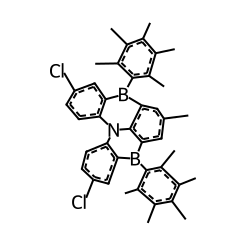 Cc1cc2c3c(c1)B(c1c(C)c(C)c(C)c(C)c1C)c1cc(Cl)ccc1N3c1ccc(Cl)cc1B2c1c(C)c(C)c(C)c(C)c1C